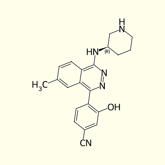 Cc1ccc2c(N[C@@H]3CCCNC3)nnc(-c3ccc(C#N)cc3O)c2c1